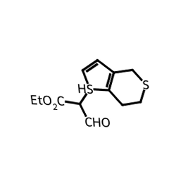 CCOC(=O)C(C=O)[SH]1C=CC2=C1CCSC2